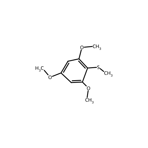 COc1cc(OC)c(SC)c(OC)c1